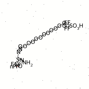 CCCN(OCC)C(=O)C1=Cc2sc(CCCN3CCN(C(=O)CCOCCOCCOCCOCCOCCOCCOCCOCCOCCOCCC(=O)Oc4c(F)c(F)c(S(=O)(=O)O)c(F)c4F)CC3)cc2N=C(N)C1